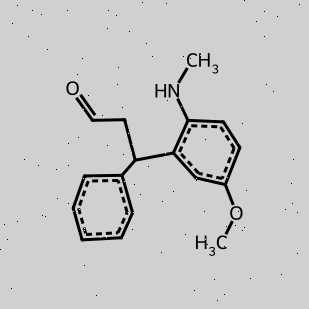 CNc1ccc(OC)cc1C(CC=O)c1ccccc1